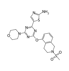 CS(=O)(=O)N1CCc2c(cccc2Oc2nc(-c3cnc(N)s3)nc(N3CCOCC3)n2)C1